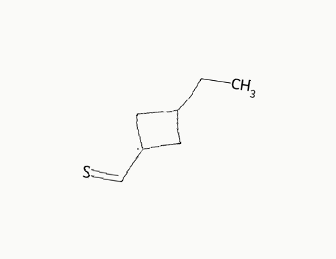 CCC1C[C](C=S)C1